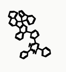 c1ccc(-c2cc(-c3cccc(-c4cc5c(c6ccccc46)-c4ccc6ccccc6c4C54c5ccccc5-c5ccccc54)c3)nc(-c3ccccc3)n2)cc1